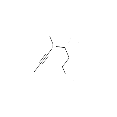 CC#CN(C)[C@@H](CCC(=O)O)C(=O)O